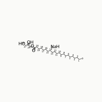 CCCCCCCCCCCCCCCCCCCCCC(=O)OCC(O)CO.[NaH]